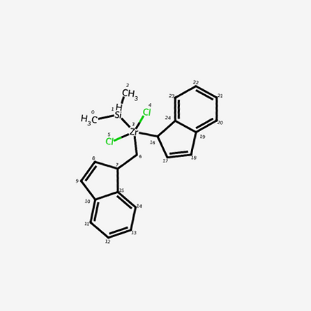 C[SiH](C)[Zr]([Cl])([Cl])([CH2]C1C=Cc2ccccc21)[CH]1C=Cc2ccccc21